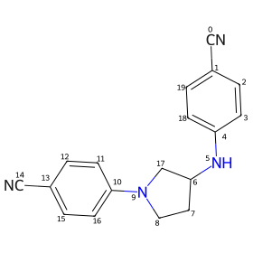 N#Cc1ccc(NC2CCN(c3ccc(C#N)cc3)C2)cc1